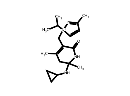 CC1=N[N+](CC2=C(C)CC(C)(NC3CC3)NC2=O)(C(C)C)C=C1